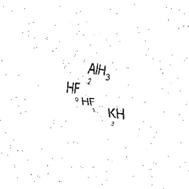 F.F.[AlH3].[KH]